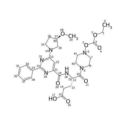 CCOC(=O)ON1CCN(C(=O)[C@H](CCC(=O)O)NC(=O)c2cc(N3CC[C@@H](OC)C3)nc(-c3ccccc3)n2)CC1